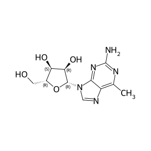 Cc1nc(N)nc2c1ncn2[C@@H]1O[C@H](CO)[C@@H](O)[C@H]1O